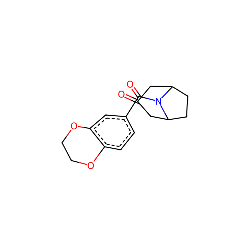 O=C1CC2CCC(C1)N2C(=O)c1ccc2c(c1)OCCO2